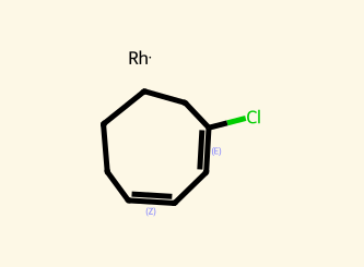 Cl/C1=C/C=C\CCCC1.[Rh]